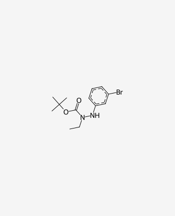 CCN(Nc1cccc(Br)c1)C(=O)OC(C)(C)C